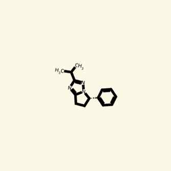 CC(C)c1nc2n(n1)[C@H](c1ccccc1)CC2